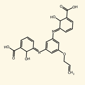 C=CCOc1cc(N=C2C=CC=C(C(=O)O)C2O)cc(N=C2C=CC=C(C(=O)O)C2O)c1